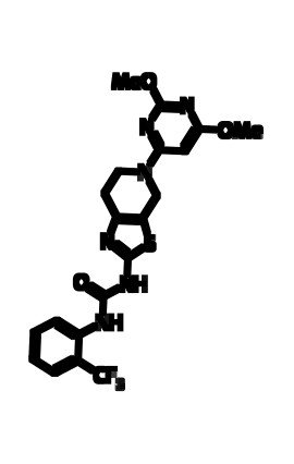 COc1cc(N2CCc3nc(NC(=O)Nc4ccccc4C(F)(F)F)sc3C2)nc(OC)n1